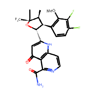 COc1c([C@H]2[C@H](c3cc(=O)c4c(C(N)=O)nccc4[nH]3)O[C@@](C)(C(F)(F)F)[C@H]2C)ccc(F)c1F